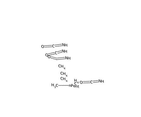 C.C.C.C.CCCCCC.N=C=O.N=C=O.N=C=O.N=C=O